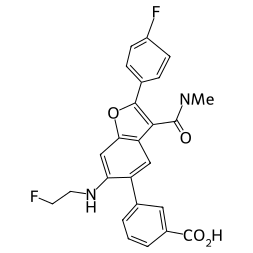 CNC(=O)c1c(-c2ccc(F)cc2)oc2cc(NCCF)c(-c3cccc(C(=O)O)c3)cc12